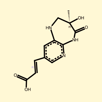 C[C@@]1(O)CNc2cc(/C=C/C(=O)O)cnc2NC1=O